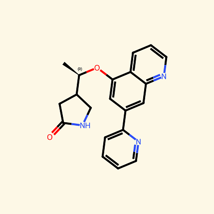 C[C@@H](Oc1cc(-c2ccccn2)cc2ncccc12)C1CNC(=O)C1